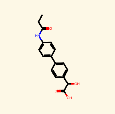 CCC(=O)Nc1ccc(-c2ccc(C(O)C(=O)O)cc2)cc1